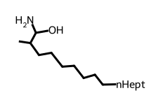 CCCCCCCCCCCCCCC(C)C(N)O